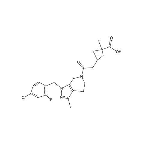 Cc1nn(Cc2ccc(Cl)cc2F)c2c1CCN(C(=O)CC1CC(C)(C(=O)O)C1)C2